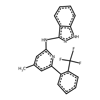 Cc1cc(Nc2n[nH]c3ccccc23)nc(-c2ccccc2C(F)(F)F)c1